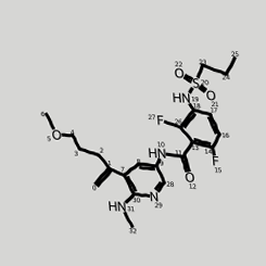 C=C(CCCOC)c1cc(NC(=O)c2c(F)ccc(NS(=O)(=O)CCC)c2F)cnc1NC